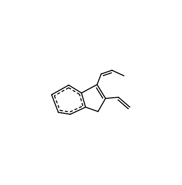 C=CC1=C(/C=C\C)c2ccccc2C1